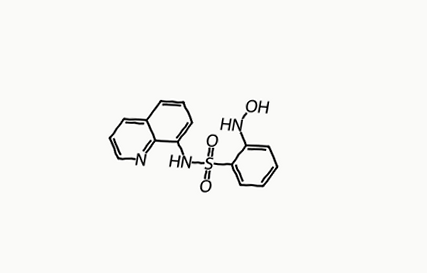 O=S(=O)(Nc1cccc2cccnc12)c1ccccc1NO